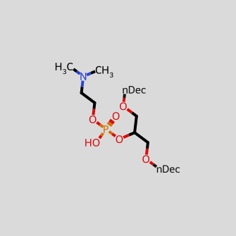 CCCCCCCCCCOCC(COCCCCCCCCCC)OP(=O)(O)OCCN(C)C